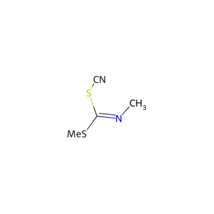 CN=C(SC)SC#N